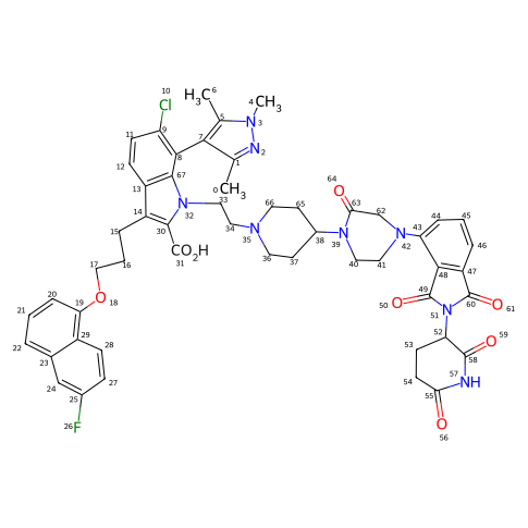 Cc1nn(C)c(C)c1-c1c(Cl)ccc2c(CCCOc3cccc4cc(F)ccc34)c(C(=O)O)n(CCN3CCC(N4CCN(c5cccc6c5C(=O)N(C5CCC(=O)NC5=O)C6=O)CC4=O)CC3)c12